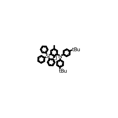 Cc1cc(N(c2ccc(C(C)(C)C)cc2)c2ccc(C(C)(C)C)cc2)c(Cl)c([Si](c2ccccc2)(c2ccccc2)c2ccccc2)c1